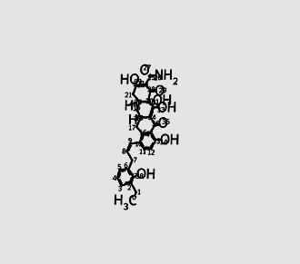 CCc1cccc(C/C=C\c2ccc(O)c3c2C[C@H]2C[C@H]4CC(O)=C(C(N)=O)C(=O)[C@@]4(O)C(O)=C2C3=O)c1O